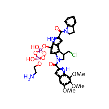 COc1cc2cc(C(=O)N3CC(CCl)c4c3cc(OP(=O)(O)OP(=O)(O)OCCN)c3[nH]c(C(=O)N5CCc6ccccc65)cc43)[nH]c2c(OC)c1OC